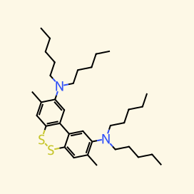 CCCCCN(CCCCC)c1cc2c(cc1C)SSc1cc(C)c(N(CCCCC)CCCCC)cc1-2